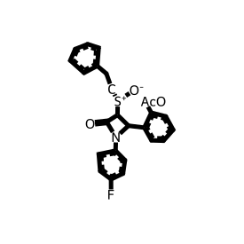 CC(=O)Oc1ccccc1C1C([S+]([O-])CCc2ccccc2)C(=O)N1c1ccc(F)cc1